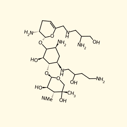 CN[C@@H]1[C@@H](O)[C@@H](O[C@H]2[C@H](NCC(O)CCN)C[C@H](N)C(O[C@H]3OC(CNCC(N)CO)=CC[C@H]3N)[C@@H]2O)OC[C@]1(C)O